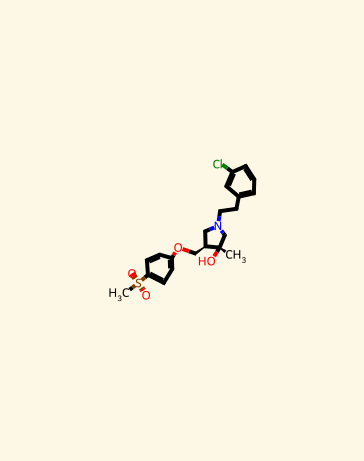 C[C@]1(O)CN(CCc2cccc(Cl)c2)C[C@@H]1COc1ccc(S(C)(=O)=O)cc1